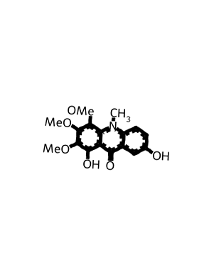 COc1c(OC)c(OC)c2c(c1O)c(=O)c1cc(O)ccc1n2C